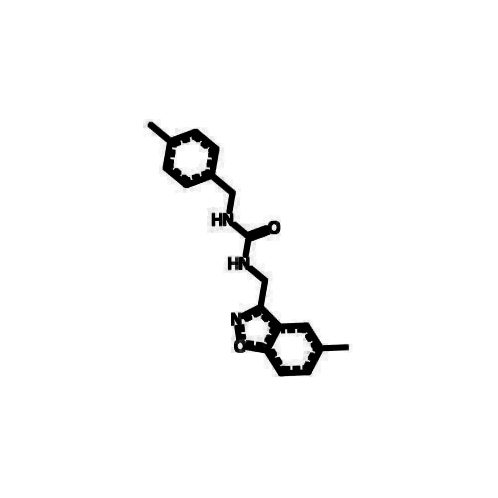 Cc1ccc(CNC(=O)NCc2noc3ccc(C)cc23)cc1